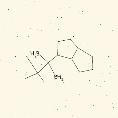 BC(B)(C1CCC2CCCC21)C(C)(C)C